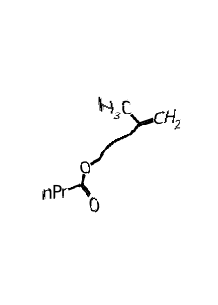 C=C(C)CCCOC(=O)CCC